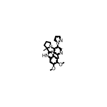 COc1cc2nc([C@]3(C)CCCN3c3cc(C)n[c]c3-n3cccn3)[nH]c2cc1OC